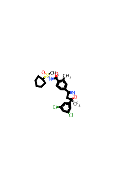 Cc1cc(C2=NOC(c3cc(Cl)cc(Cl)c3)(C(F)(F)F)C2)ccc1C(=O)N=S(C)(=O)C1CCCCC1